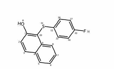 Oc1ccc2ccccc2c1Sc1ccc(F)cc1